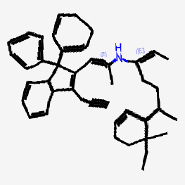 C#CC1=C(/C=C(\C)N/C(=C/C)CCC(C)C2C=CCCC2(C)CC)C(C2=CCCC=C2)(c2ccccc2)C2C=CC=CC12